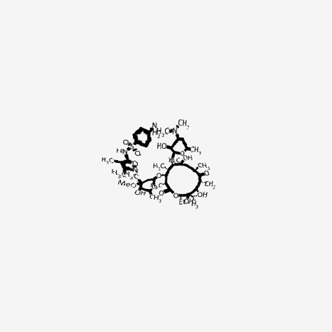 CC[C@H]1OC(=O)[C@H](C)[C@@H](OC2CC(C)(OC)C(O)C(C)O2)[C@H](C)[C@@H](OC2OC(C)CC(N(C)C)C2O)[C@](C)(O)C[C@@H](C)C(=O)[C@H](C)[C@@H](O)[C@]1(C)O.Cc1noc(NS(=O)(=O)c2ccc(N)cc2)c1C